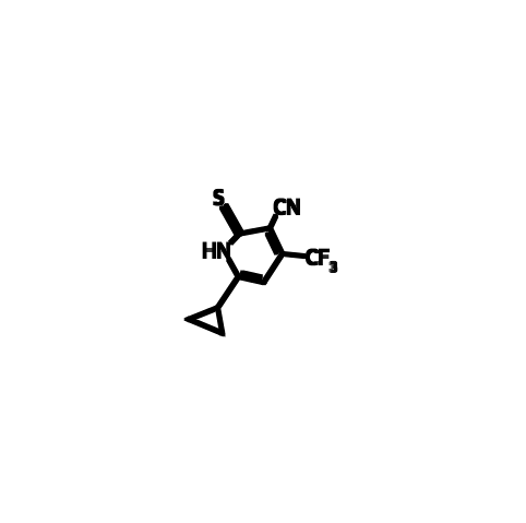 N#Cc1c(C(F)(F)F)cc(C2CC2)[nH]c1=S